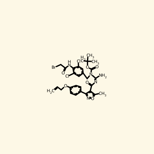 C=CCOc1ccc(-c2noc(C)c2C(=O)N=C(N)N(Cc2cc(Cl)c(NC(=O)CBr)c(Cl)c2)C(=O)OC(C)(C)C)cc1